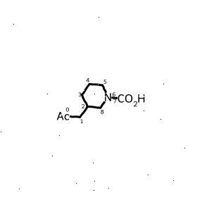 CC(=O)CC1CCCN(C(=O)O)C1